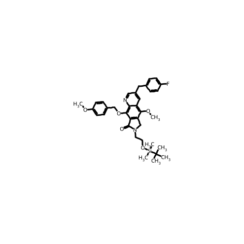 COc1ccc(COc2c3c(c(OC)c4cc(Cc5ccc(F)cc5)cnc24)CN(CCO[Si](C)(C)C(C)(C)C)C3=O)cc1